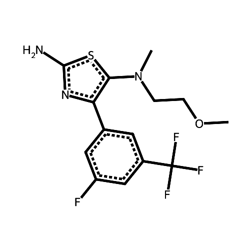 COCCN(C)c1sc(N)nc1-c1cc(F)cc(C(F)(F)F)c1